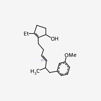 CCC1=C(CC/C=C/C(C)Cc2cccc(OC)c2)C(O)CC1